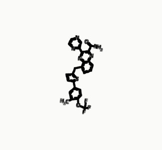 Cc1cc(-c2ccc(Cc3cccc4nc(C(N)=O)c(-c5cnccn5)nc34)s2)ccc1OC(F)(F)F